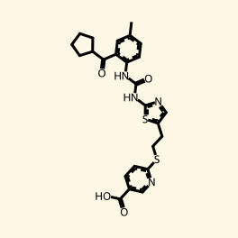 Cc1ccc(NC(=O)Nc2ncc(CCSc3ccc(C(=O)O)cn3)s2)c(C(=O)C2CCCC2)c1